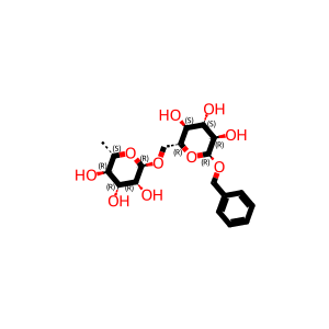 C[C@@H]1O[C@@H](OC[C@H]2O[C@@H](OCc3ccccc3)[C@H](O)[C@@H](O)[C@@H]2O)[C@H](O)[C@H](O)[C@H]1O